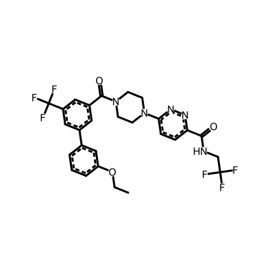 CCOc1cccc(-c2cc(C(=O)N3CCN(c4ccc(C(=O)NCC(F)(F)F)nn4)CC3)cc(C(F)(F)F)c2)c1